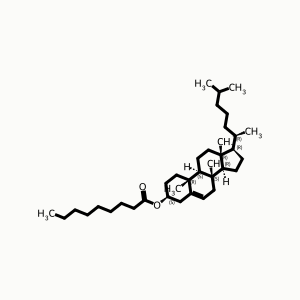 CCCCCCCCC(=O)O[C@H]1CC[C@@]2(C)C(=CC[C@@]3(C)[C@@H]4CC[C@H]([C@H](C)CCCC(C)C)[C@@]4(C)CC[C@@H]32)C1